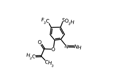 C=C(C)C(=O)Oc1cc(C(F)(F)F)c(S(=O)(=O)O)cc1N=N